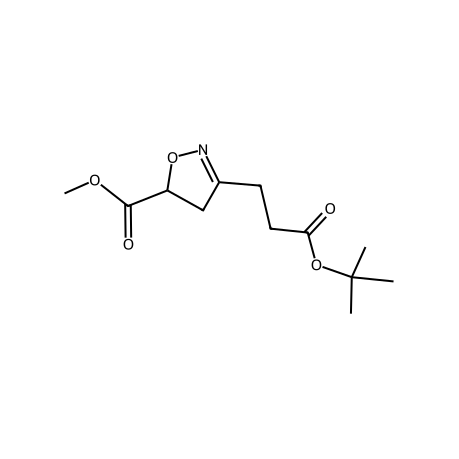 COC(=O)C1CC(CCC(=O)OC(C)(C)C)=NO1